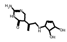 C=C(CNC1C=CC(O)C1O)C1CN=C(N)NC1=O